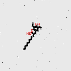 CCCCCCCCCCC(Cc1cc(CC)c(O)c(CC)c1)C(=O)O